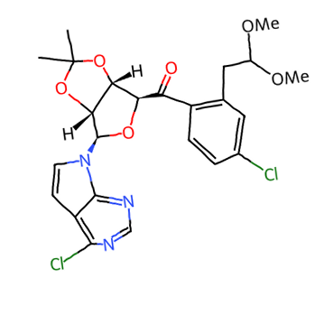 COC(Cc1cc(Cl)ccc1C(=O)[C@H]1O[C@@H](n2ccc3c(Cl)ncnc32)[C@@H]2OC(C)(C)O[C@@H]21)OC